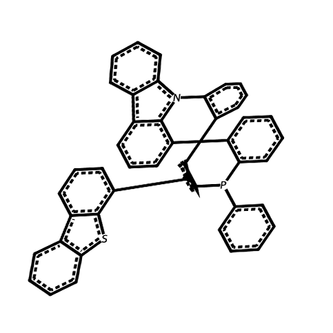 c1ccc(P2c3ccccc3C3(c4ccccc4-n4c5ccccc5c5cccc3c54)c3cc(-c4cccc5c4sc4ccccc45)ccc32)cc1